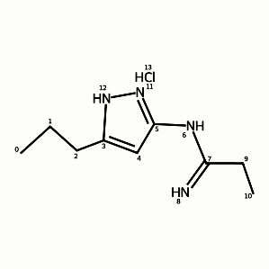 CCCc1cc(NC(=N)CC)n[nH]1.Cl